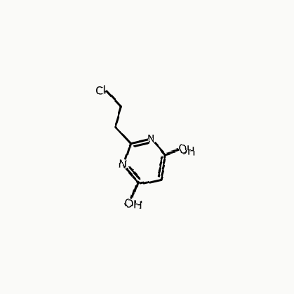 Oc1cc(O)nc(CCCl)n1